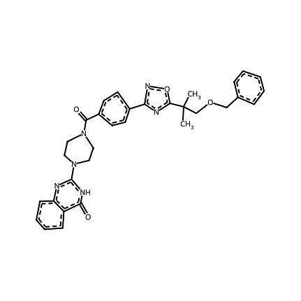 CC(C)(COCc1ccccc1)c1nc(-c2ccc(C(=O)N3CCN(c4nc5ccccc5c(=O)[nH]4)CC3)cc2)no1